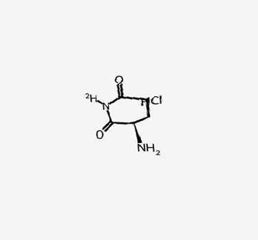 Cl.[2H]N1C(=O)CC[C@@H](N)C1=O